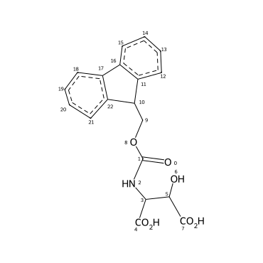 O=C(NC(C(=O)O)C(O)C(=O)O)OCC1c2ccccc2-c2ccccc21